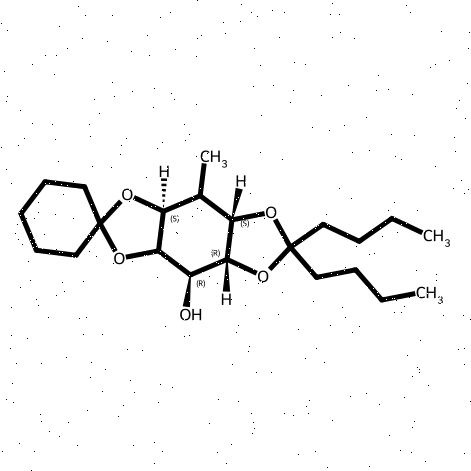 CCCCC1(CCCC)O[C@@H]2[C@@H](O)C3OC4(CCCCC4)O[C@H]3C(C)[C@@H]2O1